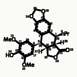 CCC[C@@H]1c2cc3c(cc2[C@@H](c2cc(OC)c(O)c(OC)c2)[C@@H]2COC(=O)[C@@H]21)OCO3